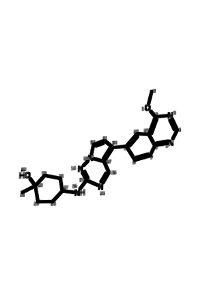 COc1ncnc2ccc(-c3ccn4nc(NC5CCC(C)(O)CC5)ncc34)cc12